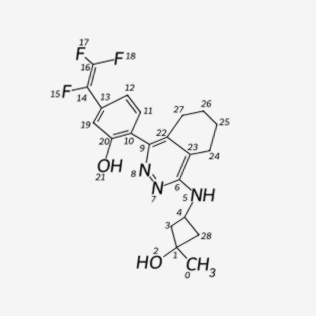 CC1(O)CC(Nc2nnc(-c3ccc(C(F)=C(F)F)cc3O)c3c2CCCC3)C1